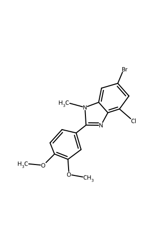 COc1ccc(-c2nc3c(Cl)cc(Br)cc3n2C)cc1OC